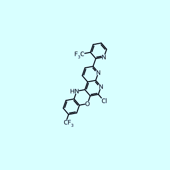 FC(F)(F)c1ccc2c(c1)Oc1c(Cl)nc3nc(-c4ncccc4C(F)(F)F)ccc3c1N2